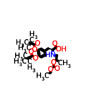 CCOC(=O)OC(C)CN[C@@H](Cc1ccc(OC(=O)C(C)(C)C)c(OC(=O)C(C)(C)C)c1)C(=O)O